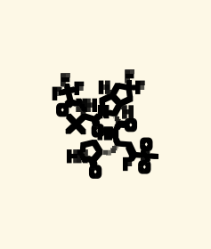 CC(C)(C)[C@H](NC(=O)C(F)(F)F)C(=O)N1C[C@H]2CC(F)(F)C[C@H]2[C@@H]1C(=O)N[C@H](/C=C(\F)S(C)(=O)=O)C[C@H]1CCNC1=O